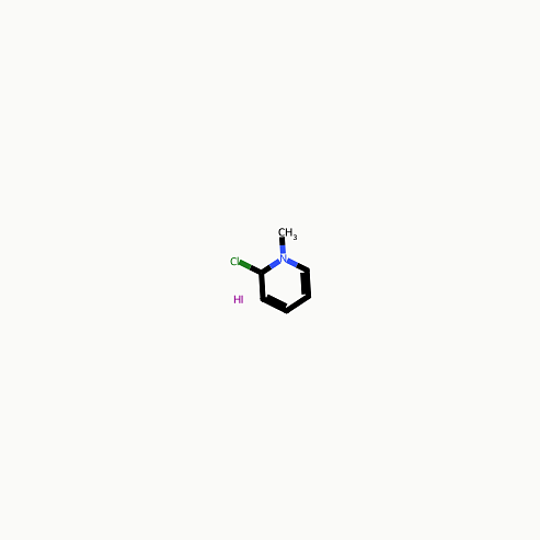 CN1C=CC=CC1Cl.I